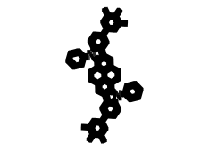 Cc1cc(-c2ccc3c(c2)c2cc4c5c(c2n3-c2ccccc2)CCc2cc3c6cc(-c7cc(C)c(C)c(C)c7)ccc6n(C6C=CC=CC6)c3c(c2-5)CC4)cc(C)c1C